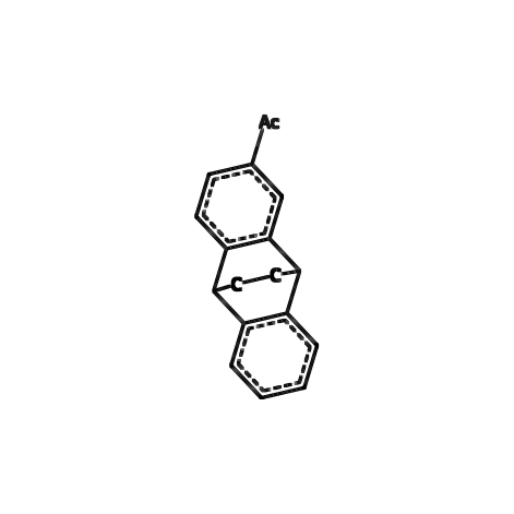 CC(=O)c1ccc2c(c1)C1CCC2c2ccccc21